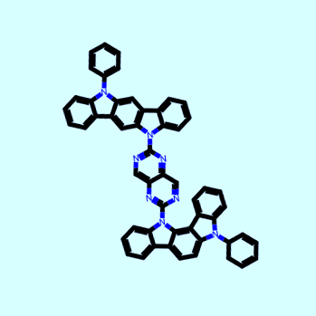 C1=CCC(n2c3ccccc3c3c4c(ccc32)c2ccccc2n4-c2ncc3nc(-n4c5ccccc5c5cc6c(cc54)c4ccccc4n6-c4ccccc4)ncc3n2)C=C1